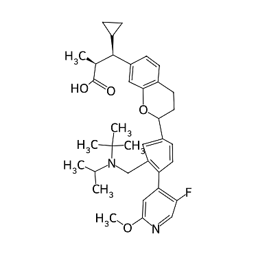 COc1cc(-c2ccc(C3CCc4ccc([C@H](C5CC5)[C@H](C)C(=O)O)cc4O3)cc2CN(C(C)C)C(C)(C)C)c(F)cn1